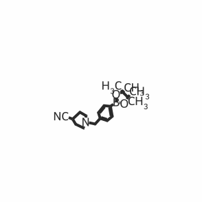 CC1(C)OB(c2ccc(CN3CCC(C#N)CC3)cc2)OC1(C)C